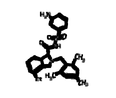 CCc1cccc2c1CN(Cc1c(C)cc(C)cc1C)C2C(=O)NS(=O)(=O)c1cccc(N)c1